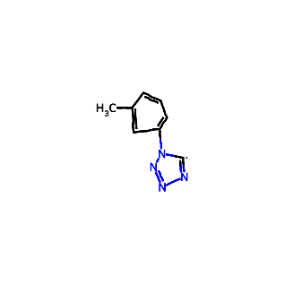 Cc1cccc(-n2[c]nnn2)c1